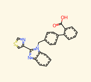 O=C(O)c1ccccc1-c1ccc(Cn2c(-c3cscn3)nc3ccccc32)cc1